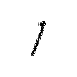 COCCOCCOCCOCCOCCOCCOCCOCCOCCOCCOCCOc1ccc(CCNC(=O)OC(C)(C)C)cc1